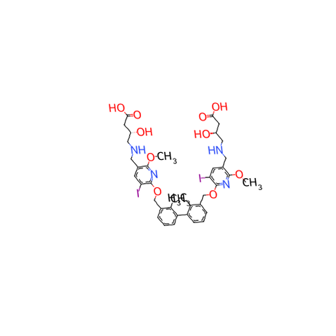 COc1nc(OCc2cccc(-c3cccc(COc4nc(OC)c(CNC[C@@H](O)CC(=O)O)cc4I)c3C)c2C)c(I)cc1CNC[C@@H](O)CC(=O)O